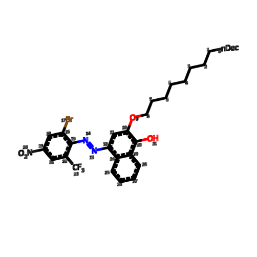 CCCCCCCCCCCCCCCCCCOc1cc(N=Nc2c(Br)cc([N+](=O)[O-])cc2C(F)(F)F)c2ccccc2c1O